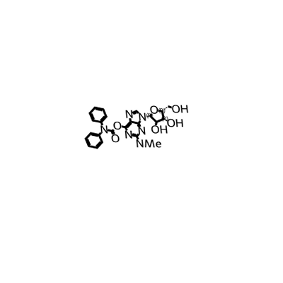 CNc1nc(OC(=O)N(c2ccccc2)c2ccccc2)c2ncn([C@@H]3O[C@H](CO)[C@H](O)C3O)c2n1